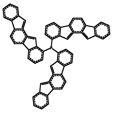 C1=c2c(ccc3c2=Cc2c-3cccc2P(c2cccc3c2C=c2c-3ccc3c2=Cc2ccccc2-3)c2cccc3c2C=c2c-3ccc3c2=Cc2ccccc2-3)-c2ccccc21